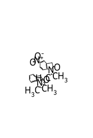 CC(C)N1C(=O)Cc2cc([N+](=O)[O-])ccc21.CC(C)N1C(=O)Cc2ccccc21